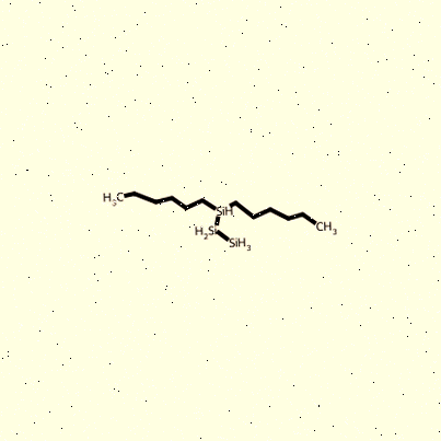 CCCCCC[SiH](CCCCCC)[SiH2][SiH3]